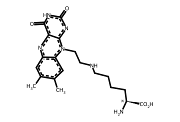 Cc1cc2nc3c(=O)[nH]c(=O)nc-3n(CCNCCCC[C@H](N)C(=O)O)c2cc1C